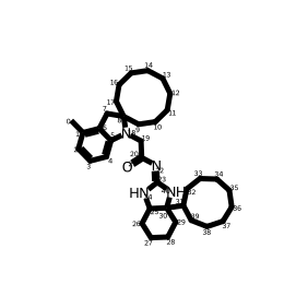 Cc1cccc2c1CC1(CCCCCCCCC1)N2CC(=O)/N=C1\NC2CCCCC2(C2CCCCCCCC2)N1